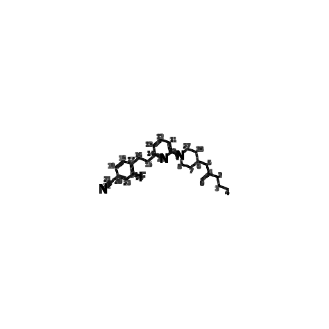 C=C(CCC)CC1CCN(c2cccc(CCc3ccc(C#N)cc3F)n2)CC1